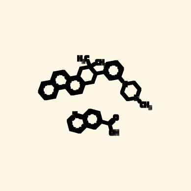 CN1CCN(c2cccc(C3Cc4ccc5c(ccc6ccccc65)c4CC3(C)C)c2)CC1.O=C(O)c1ccc2ncccc2c1